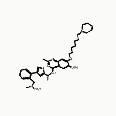 COc1cc2c(NC(C)c3cc(-c4ccccc4CN(C)C(=O)O)cs3)nc(C)nc2cc1OCCCCCCCN1CCCCC1